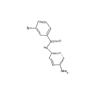 Nc1ccc(NC(=O)c2cccc(Br)c2)cc1